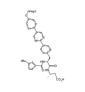 CCCCCCCOc1ccc(-c2cnc(-c3ccc(C[C@H](NC(=O)c4ccc(C(C)(C)C)s4)C(=O)N[C@@H](C)CC(=O)O)cc3)nc2)cc1